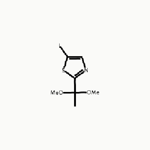 COC(C)(OC)c1ncc(I)s1